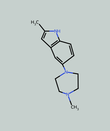 Cc1cc2cc(N3CCN(C)CC3)ccc2[nH]1